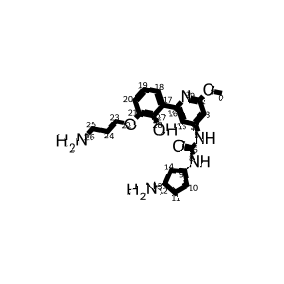 COc1cc(NC(=O)N[C@@H]2CC[C@H](N)C2)cc(-c2cccc(OCCCN)c2O)n1